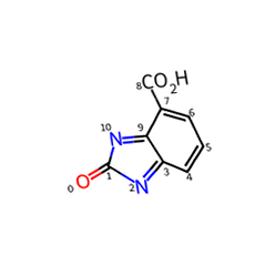 O=C1N=c2cccc(C(=O)O)c2=N1